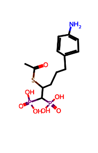 CC(=O)SC(CCCc1ccc(N)cc1)C(P(=O)(O)O)P(=O)(O)O